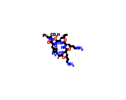 C/C=C/C[C@H](NC(=O)[C@H](CCCCN)NC(=O)[C@H](CCCCN)NC(=O)[C@H](C)N)C(=O)N[C@@H](CC1CCC1)C(=O)N[C@@H](CC(C)C)C(=O)O